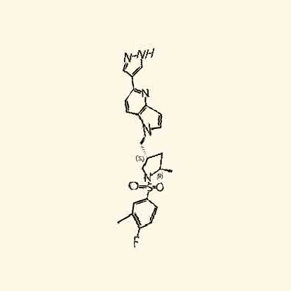 Cc1cc(S(=O)(=O)N2C[C@H](Cn3ccc4nc(-c5cn[nH]c5)ccc43)C[C@H]2C)ccc1F